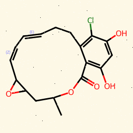 CC1CC2OC2/C=C\C=C\CCc2c(Cl)c(O)cc(O)c2C(=O)O1